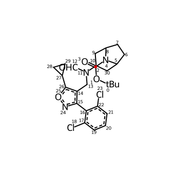 CC(C)(C)OC(=O)N1C2CCC1CC(N(C=O)Cc1c(-c3c(Cl)cccc3Cl)noc1C1CC1)C2